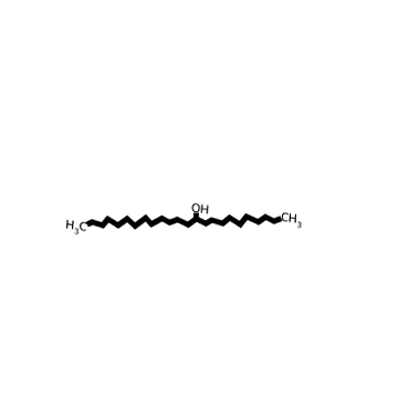 CCCCCCCCCCCCCC(O)CCCCCCCCCC